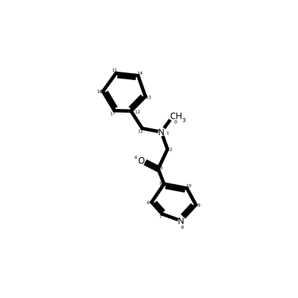 CN(CC(=O)c1ccncc1)Cc1ccccc1